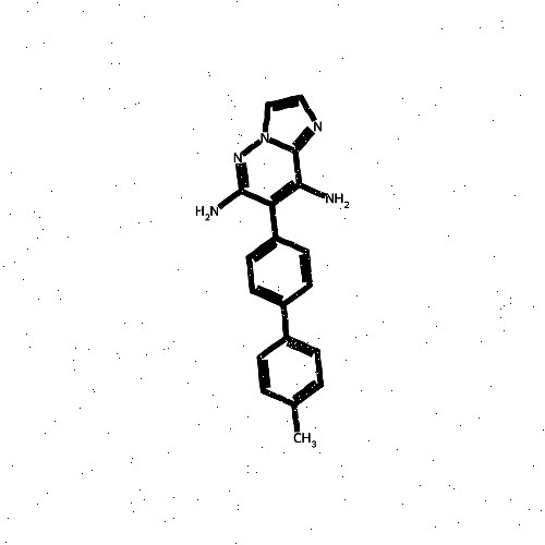 Cc1ccc(-c2ccc(-c3c(N)nn4ccnc4c3N)cc2)cc1